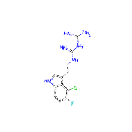 N=C(N)NC(=N)NCCc1c[nH]c2ccc(F)c(Cl)c12